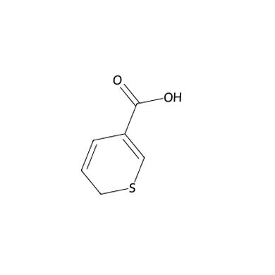 O=C(O)C1=CSCC=C1